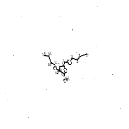 CCCCOC[C@@H]1C[C@@](C)(OCCCC)C(O)O1